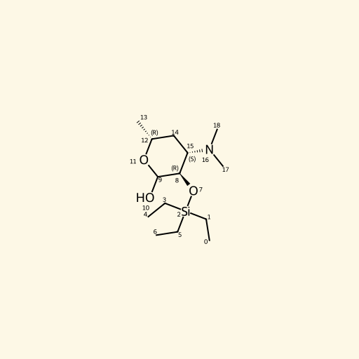 CC[Si](CC)(CC)O[C@H]1C(O)O[C@H](C)C[C@@H]1N(C)C